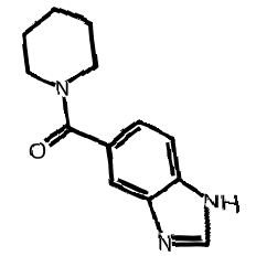 O=C(c1ccc2[nH]cnc2c1)N1CCCCC1